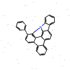 c1ccc(-c2ccc3c4ccccc4c4ccc5c6ccccc6n6c2c3c4c56)cc1